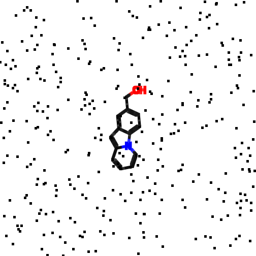 OCc1ccc2c(c1)cc1ccccn12